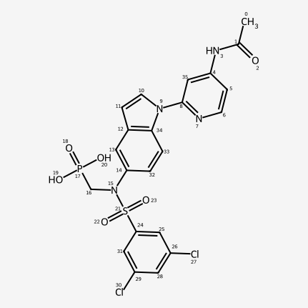 CC(=O)Nc1ccnc(-n2ccc3cc(N(CP(=O)(O)O)S(=O)(=O)c4cc(Cl)cc(Cl)c4)ccc32)c1